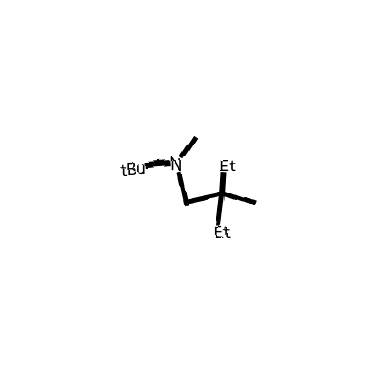 CCC(C)(CC)CN(C)C(C)(C)C